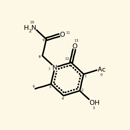 CC(=O)c1c(O)cc(C)n(CC(N)=O)c1=O